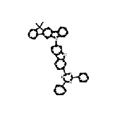 CC1(C)c2ccccc2-c2cc3c(cc21)c1ccccc1n3-c1ccc2c(c1)oc1cc(-c3nc(-c4ccccc4)nc(-c4ccccc4)n3)ccc12